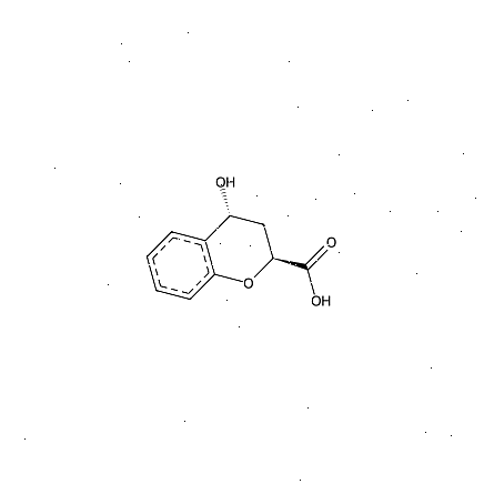 O=C(O)[C@@H]1C[C@@H](O)c2ccccc2O1